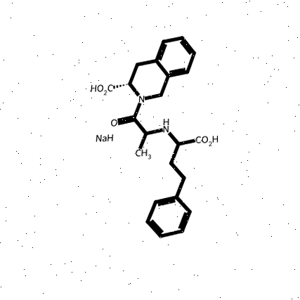 CC(NC(CCc1ccccc1)C(=O)O)C(=O)N1Cc2ccccc2C[C@H]1C(=O)O.[NaH]